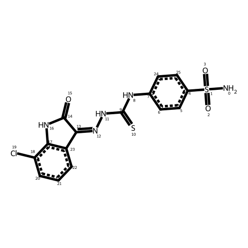 NS(=O)(=O)c1ccc(NC(=S)NN=C2C(=O)Nc3c(Cl)cccc32)cc1